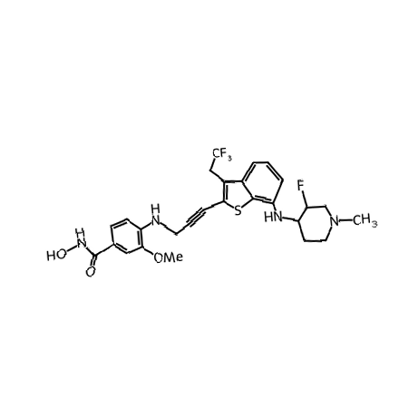 COc1cc(C(=O)NO)ccc1NCC#Cc1sc2c(NC3CCN(C)CC3F)cccc2c1CC(F)(F)F